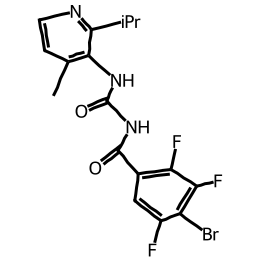 Cc1ccnc(C(C)C)c1NC(=O)NC(=O)c1cc(F)c(Br)c(F)c1F